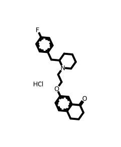 Cl.O=C1CCCc2ccc(OCCN3CCCCC3Cc3ccc(F)cc3)cc21